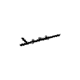 CCCCCCCCCCCOC(=O)CCCCCC(O)CCCCCC(=O)OCCCCC(CCCCCC)CCCCCC